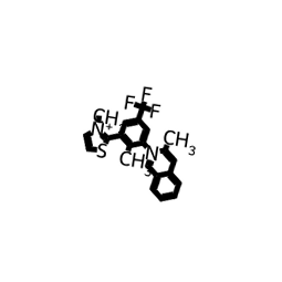 Cc1c(-c2scc[n+]2C)cc(C(F)(F)F)cc1-[n+]1cc2ccccc2cc1C